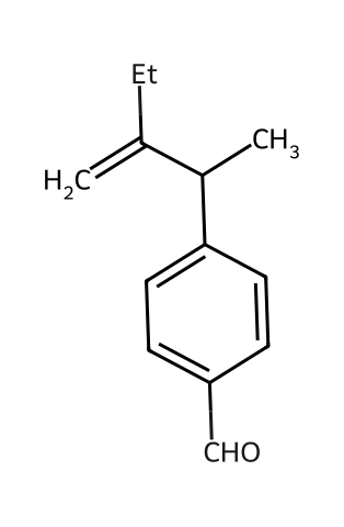 C=C(CC)C(C)c1ccc(C=O)cc1